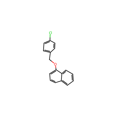 Clc1ccc(COc2cccc3ccccc23)cc1